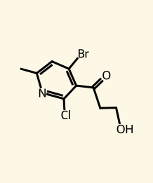 Cc1cc(Br)c(C(=O)CCO)c(Cl)n1